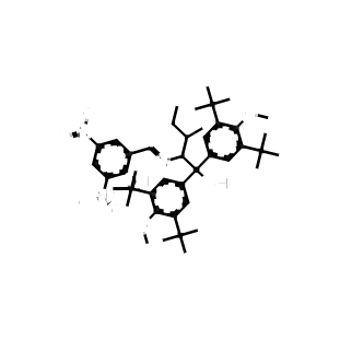 CCC(C)C(N=Cc1cc([N+](=O)[O-])cc([N+](=O)[O-])c1O)C(O)(c1cc(C(C)(C)C)c(OC)c(C(C)(C)C)c1)c1cc(C(C)(C)C)c(OC)c(C(C)(C)C)c1